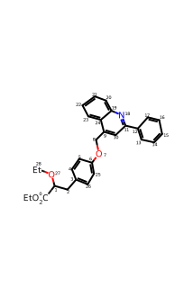 CCOC(=O)C(Cc1ccc(OCc2cc(-c3ccccc3)nc3ccccc23)cc1)OCC